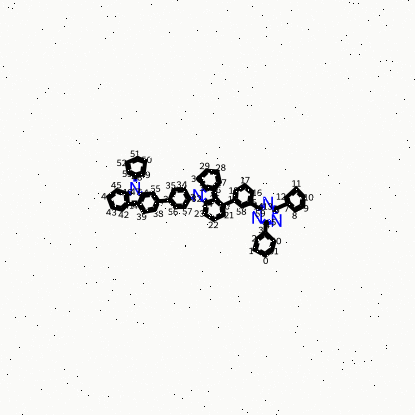 c1ccc(-c2nc(-c3ccccc3)nc(-c3cccc(-c4cccc5c4c4ccccc4n5-c4ccc(-c5ccc6c7ccccc7n(-c7ccccc7)c6c5)cc4)c3)n2)cc1